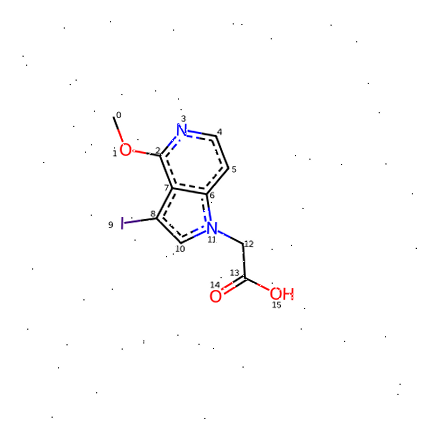 COc1nccc2c1c(I)cn2CC(=O)O